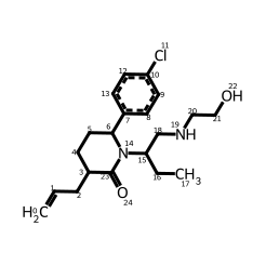 C=CCC1CCC(c2ccc(Cl)cc2)N(C(CC)CNCCO)C1=O